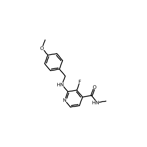 CNC(=O)c1ccnc(NCc2ccc(OC)cc2)c1F